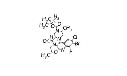 C[C@@H]1CN2C(=C=O)[C@H]3CN(C(=O)OC(C)(C)C)[C@H](C)CN3c3c2c(nc2c(F)c(Br)c(Cl)cc32)O1